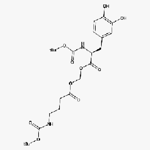 CC(C)(C)OC(=O)NCCCC(=O)OCOC(=O)[C@H](Cc1ccc(O)c(O)c1)NC(=O)OC(C)(C)C